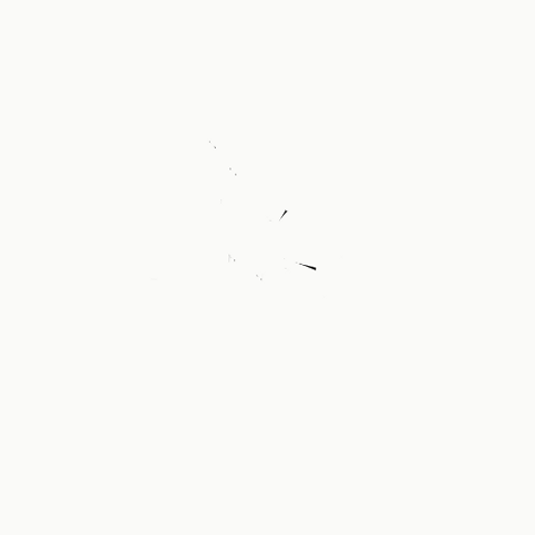 C[C@@H]1C(C(=O)NN2CCCCC2)=NN(c2ccc(Cl)cc2Cl)[C@@H]1c1cccs1.Cl